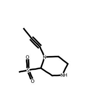 CC#CN1CCNCC1S(C)(=O)=O